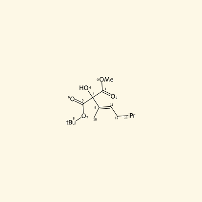 COC(=O)C(O)(C(=O)OC(C)(C)C)C(C)=CCC(C)C